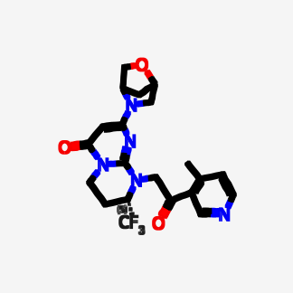 Cc1ccncc1C(=O)CN1c2nc(N3CC4CC3CO4)cc(=O)n2CC[C@H]1C(F)(F)F